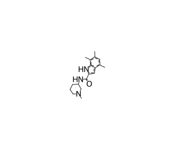 Cc1cc(C)c2cc(C(=O)NC3CCCN(C)C3)[nH]c2c1C